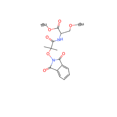 CC(C)(C)OCC(NC(=O)C(C)(C)ON1C(=O)c2ccccc2C1=O)C(=O)OC(C)(C)C